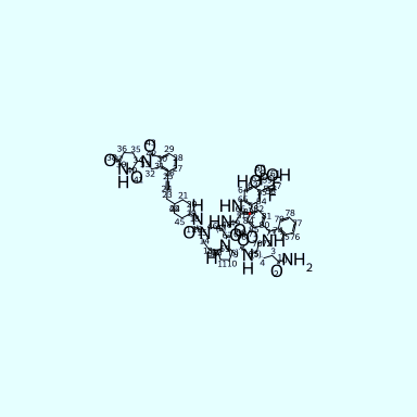 NC(=O)CC[C@H](NC(=O)[C@@H]1CC[C@@H]2CCN(C(=O)NC3CCC(CC#Cc4cccc5c4CN(C4CCC(=O)NC4=O)C5=O)CC3)C[C@H](NC(=O)c3cc4cc(C(F)(F)P(=O)(O)O)ccc4[nH]3)C(=O)N21)C(=O)NC(c1ccccc1)c1ccccc1